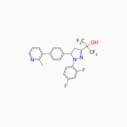 Cc1ncccc1-c1ccc(C2CC(C(O)(C(F)(F)F)C(F)(F)F)=NN2c2ccc(F)cc2F)cc1